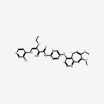 CCO/C(=C/Nc1ccncc1Cl)C(=N)C(=O)Nc1ccc(Oc2ccnc3c2CC=C(OC)C(OC)=C3)cn1